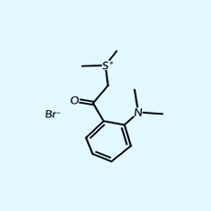 CN(C)c1ccccc1C(=O)C[S+](C)C.[Br-]